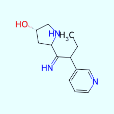 CCC(C(=N)C1C[C@H](O)CN1)c1cccnc1